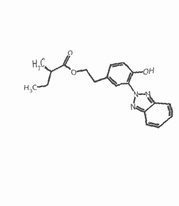 CCC(C)C(=O)OCCc1ccc(O)c(-n2nc3ccccc3n2)c1